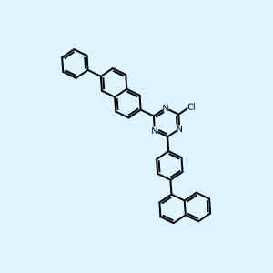 Clc1nc(-c2ccc(-c3cccc4ccccc34)cc2)nc(-c2ccc3cc(-c4ccccc4)ccc3c2)n1